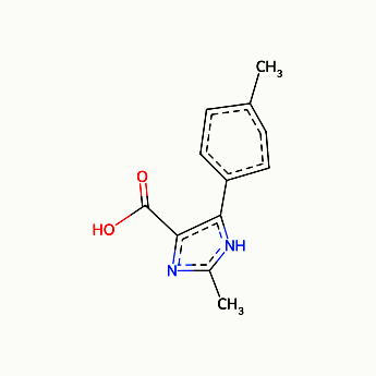 Cc1ccc(-c2[nH]c(C)nc2C(=O)O)cc1